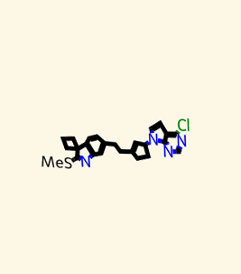 CSC1=Nc2cc(CCC3=CC(n4ccc5c(Cl)ncnc54)CC3)ccc2C12CCC2